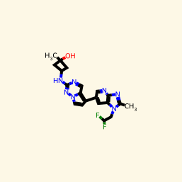 Cc1nc2ncc(-c3ccn4nc(NC5CC(C)(O)C5)ncc34)cc2n1CC(F)F